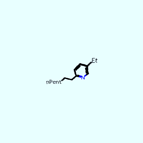 CCCCCCCc1ccc(CC)cn1